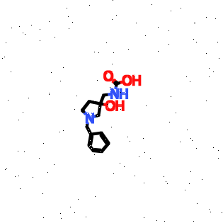 O=C(O)NCC1(O)CCN(Cc2ccccc2)C1